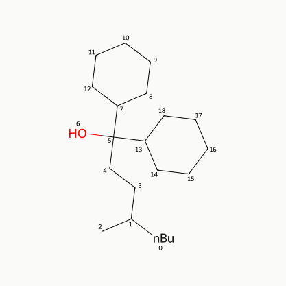 CCCCC(C)CCC(O)(C1CCCCC1)C1CCCCC1